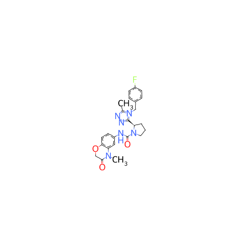 Cc1nnc([C@H]2CCCN2C(=O)Nc2ccc3c(c2)N(C)C(=O)CO3)n1Cc1ccc(F)cc1